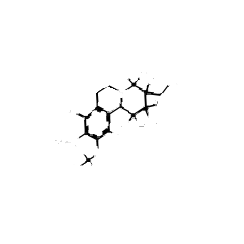 [2H]c1c2c(c([2H])c(OC([2H])([2H])[2H])c1OC)C1N(CC2)C([2H])([2H])C([2H])(CC(C)C)C([2H])(O)C1([2H])[2H]